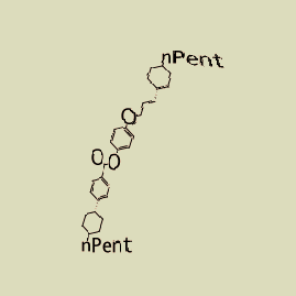 CCCCC[C@H]1CC[C@H](CCCOc2ccc(OC(=O)c3ccc([C@H]4CC[C@H](CCCCC)CC4)cc3)cc2)CC1